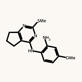 COc1ccc(Nc2nc(SC)nc3c2CCC3)c(N)c1